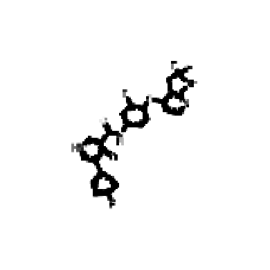 O=C(Nc1ccc(Oc2ccnc3c2CC(F)(F)N3)c(F)c1)c1c[nH]cc(-c2ccc(F)cc2)c1=O